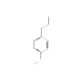 CCCc1ccc(OCl)cc1